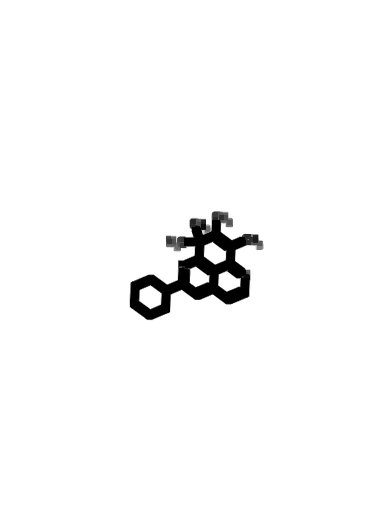 CC1=C(C)C(C)(C)c2nc(C3CCCCC3)cc3ccnc1c23